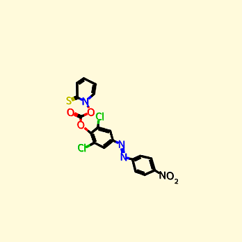 O=C(Oc1c(Cl)cc(/N=N/c2ccc([N+](=O)[O-])cc2)cc1Cl)On1ccccc1=S